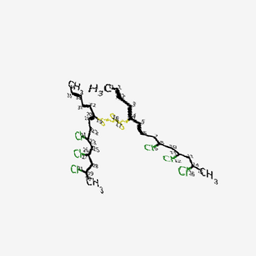 C/C=C/C=C(/C=C/CC(Cl)CC(Cl)CC(C)Cl)SSSC(=C\CC(Cl)CC(Cl)CC(C)Cl)/C=C/C=C/C